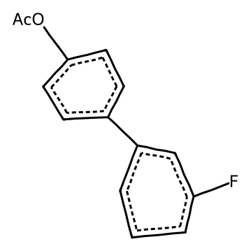 CC(=O)Oc1ccc(-c2cccc(F)c2)cc1